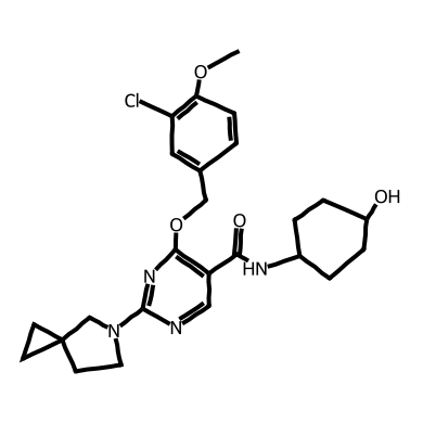 COc1ccc(COc2nc(N3CCC4(CC4)C3)ncc2C(=O)NC2CCC(O)CC2)cc1Cl